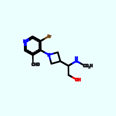 O=Cc1cncc(Br)c1N1CC(C(CO)NC(=O)O)C1